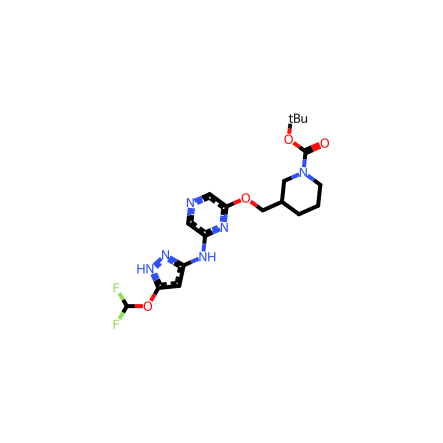 CC(C)(C)OC(=O)N1CCCC(COc2cncc(Nc3cc(OC(F)F)[nH]n3)n2)C1